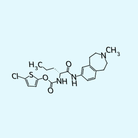 CCC[C@@H](NC(=O)Oc1ccc(Cl)s1)C(=O)Nc1ccc2c(c1)CCN(C)CC2